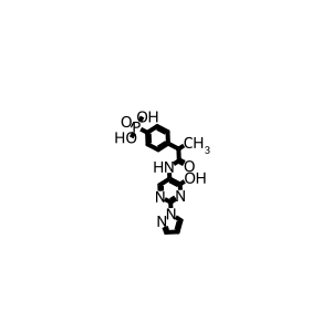 CC(C(=O)Nc1cnc(-n2cccn2)nc1O)c1ccc(P(=O)(O)O)cc1